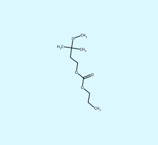 CCCOC(=O)OCCC(C)(C)OC